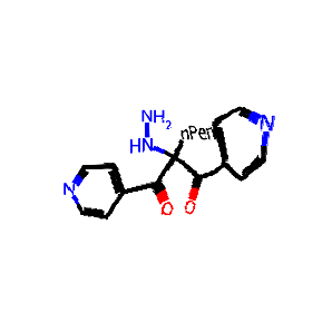 CCCCCC(NN)(C(=O)c1ccncc1)C(=O)c1ccncc1